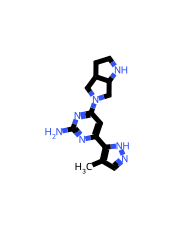 Cc1cn[nH]c1-c1cc(N2CC3CCNC3C2)nc(N)n1